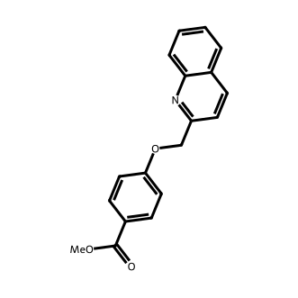 COC(=O)c1ccc(OCc2ccc3ccccc3n2)cc1